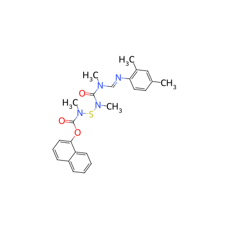 Cc1ccc(N=CN(C)C(=O)N(C)SN(C)C(=O)Oc2cccc3ccccc23)c(C)c1